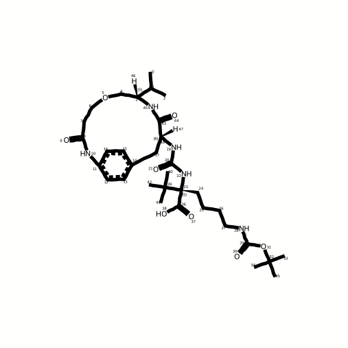 CC(C)[C@H]1COCCC(=O)Nc2ccc(cc2)C[C@@H](NC(=O)N[C@](CCCCNC(=O)OC(C)(C)C)(C(=O)O)C(C)(C)C)C(=O)N1